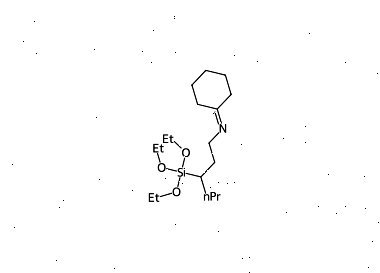 CCCC(CCN=C1CCCCC1)[Si](OCC)(OCC)OCC